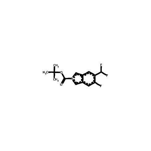 CC(C)(C)OC(=O)n1cc2cc(F)c(C(F)F)cc2c1